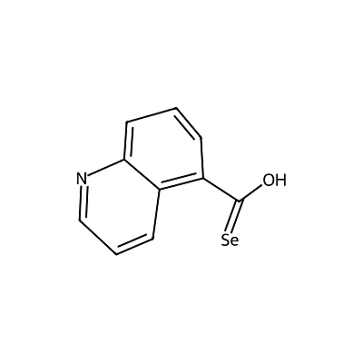 OC(=[Se])c1cccc2ncccc12